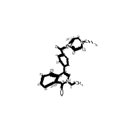 CCn1cc(-c2ccc(C(=O)N3CCN(C)CC3)cc2)c2ccccc2c1=O